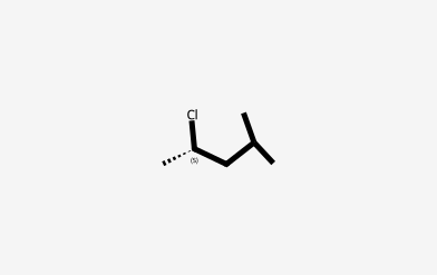 CC(C)C[C@H](C)Cl